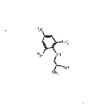 Cc1cc(C)c(NCC(C)O)c(C)c1